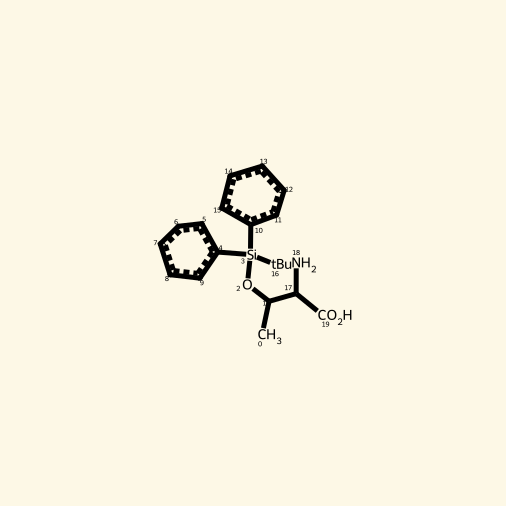 CC(O[Si](c1ccccc1)(c1ccccc1)C(C)(C)C)C(N)C(=O)O